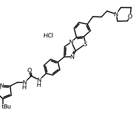 CC(C)(C)c1cc(CNC(=O)Nc2ccc(-c3cn4c(n3)sc3cc(CCCN5CCOCC5)ccc34)cc2)no1.Cl